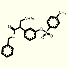 CC(=O)NCC(C(=O)OCc1ccccc1)c1cccc(OS(=O)(=O)c2ccc(C)cc2)c1